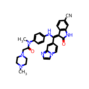 CN1CCN(CC(=O)N(C)c2ccc(NC(=C3C(=O)Nc4cc(C#N)ccc43)c3ccn4ccnc4c3)cc2)CC1